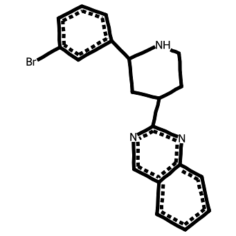 Brc1cccc(C2CC(c3ncc4ccccc4n3)CCN2)c1